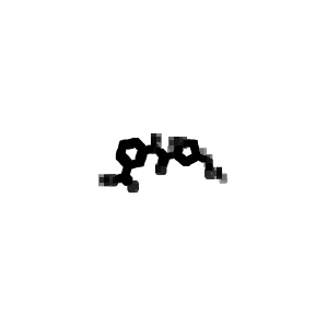 CS[C@@H]1CN[C@H](C(=O)Nc2cccc(C(=O)O)c2)C1